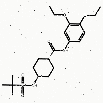 CCOc1ccc(NC(=O)[C@H]2CC[C@H](NS(=O)(=O)C(C)(C)C)CC2)cc1OCC